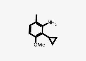 COc1ccc(C)c(N)c1C1CC1